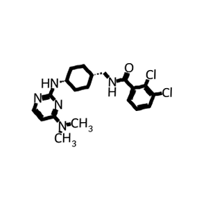 CN(C)c1ccnc(N[C@H]2CC[C@@H](CNC(=O)c3cccc(Cl)c3Cl)CC2)n1